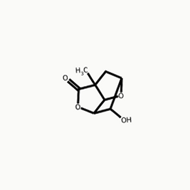 CC12CC3OC1C(OC2=O)C3O